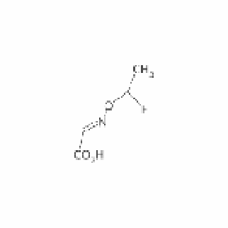 CC(F)ON=CC(=O)O